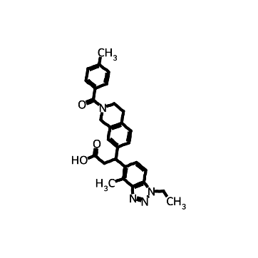 CCn1nnc2c(C)c(C(CC(=O)O)c3ccc4c(c3)CN(C(=O)c3ccc(C)cc3)CC4)ccc21